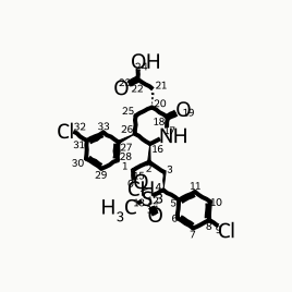 CCC(C[C@@H](c1ccc(Cl)cc1)S(C)(=O)=O)[C@@H]1NC(=O)[C@@H](CC(=O)O)C[C@@H]1c1cccc(Cl)c1